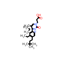 CCc1cc([C@]2(C(C)C)NC(=O)N(CCC(=O)O)C=C2C)ccc1CCC(C)(C)C